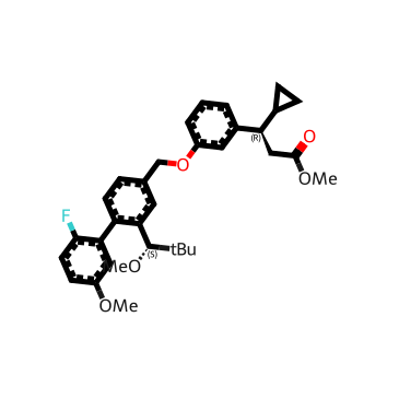 COC(=O)C[C@@H](c1cccc(OCc2ccc(-c3cc(OC)ccc3F)c([C@@H](OC)C(C)(C)C)c2)c1)C1CC1